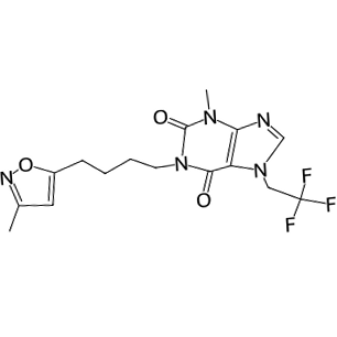 Cc1cc(CCCCn2c(=O)c3c(ncn3CC(F)(F)F)n(C)c2=O)on1